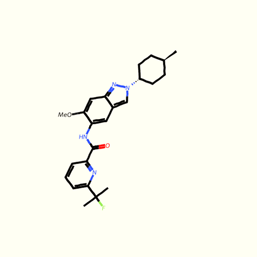 COc1cc2nn([C@H]3CC[C@H](C)CC3)cc2cc1NC(=O)c1cccc(C(C)(C)F)n1